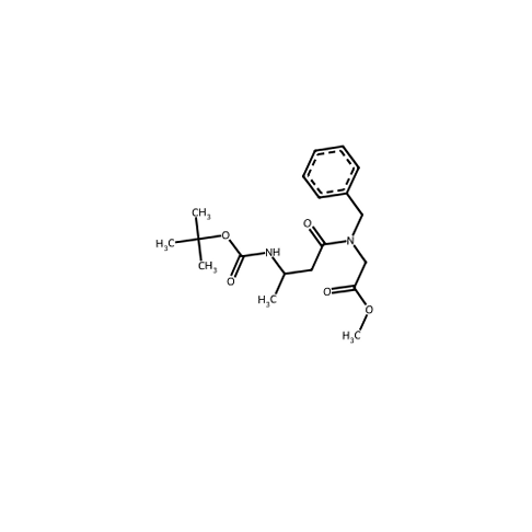 COC(=O)CN(Cc1ccccc1)C(=O)CC(C)NC(=O)OC(C)(C)C